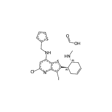 CN[C@@H]1CC=CC[C@H]1c1sc2c(NCc3cccs3)cc(Cl)nc2c1I.O=CO